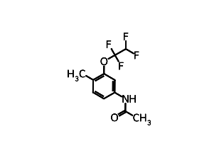 CC(=O)Nc1ccc(C)c(OC(F)(F)C(F)F)c1